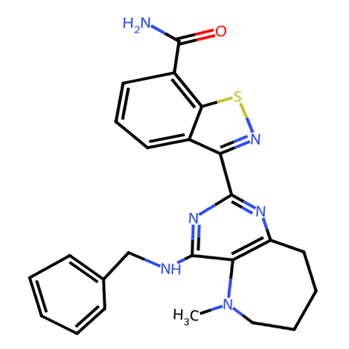 CN1CCCCc2nc(-c3nsc4c(C(N)=O)cccc34)nc(NCc3ccccc3)c21